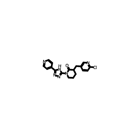 O=C1C(Cc2ccc(Cl)nc2)CCCN1c1nnc(-c2ccncc2)[nH]1